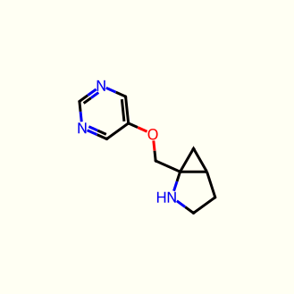 c1ncc(OCC23CC2CCN3)cn1